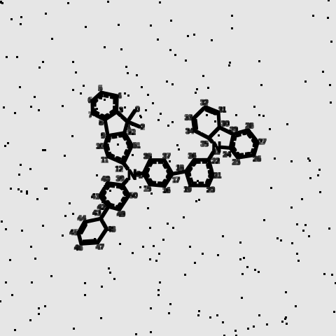 CC1(C)c2ccccc2-c2ccc(N(c3ccc(-c4cccc(N5c6ccccc6C6C=CC=CC65)c4)cc3)c3ccc(C4C=CC=CC4)cc3)cc21